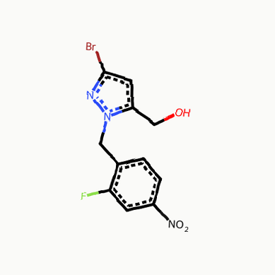 O=[N+]([O-])c1ccc(Cn2nc(Br)cc2CO)c(F)c1